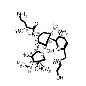 CN[C@@H]1[C@@H](O)[C@@H](O[C@@H]2[C@@H](O)[C@H](C3OC(CNCCO)=CC[C@H]3N)[C@@H](N)C[C@H]2NC(=O)[C@H](O)CCN)OC[C@]1(C)O